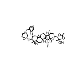 CC(=O)O[C@@H]([C@H]1C[C@@H](C)[C@H]2[C@H](O1)[C@H](O)[C@@]1(C)[C@@H]3CC[C@H]4C(C)(C)[C@@H](O[C@H]5CN(Cc6cnc[nH]6)CCO5)CC[C@@]45C[C@@]35CC[C@]21C)C(C)(C)O